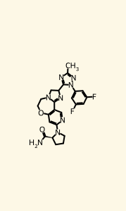 Cc1nc(C2CN3CCOc4cc(N5CCC[C@H]5C(N)=O)ncc4C3=N2)n(-c2cc(F)cc(F)c2)n1